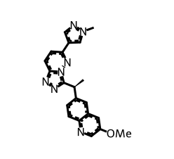 COc1cnc2ccc([C@H](C)c3nnc4ccc(-c5cnn(C)c5)nn34)cc2c1